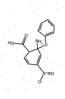 NC1(Oc2ccccc2)C=C([N+](=O)[O-])C=CC1C(=O)O